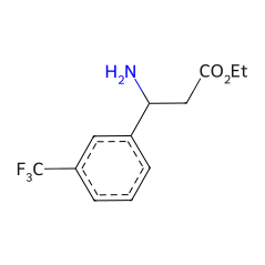 CCOC(=O)CC(N)c1cccc(C(F)(F)F)c1